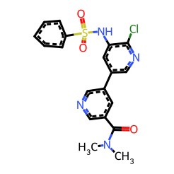 CN(C)C(=O)c1cncc(-c2cnc(Cl)c(NS(=O)(=O)c3ccccc3)c2)c1